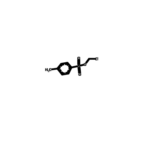 Cc1ccc(S(=O)(=O)OCCl)cc1